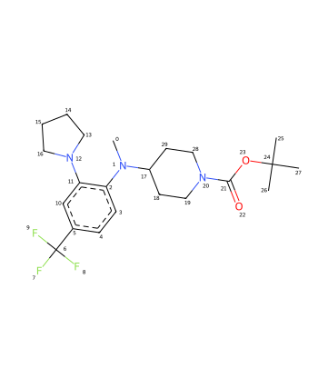 CN(c1ccc(C(F)(F)F)cc1N1CCCC1)C1CCN(C(=O)OC(C)(C)C)CC1